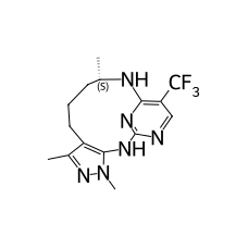 Cc1nn(C)c2c1CCC[C@H](C)Nc1nc(ncc1C(F)(F)F)N2